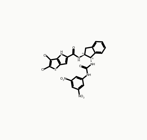 O=C(Nc1cc([N+](=O)[O-])cc([N+](=O)[O-])c1)N[C@H]1c2ccccc2C[C@@H]1NC(=O)c1cc2sc(Cl)c(Cl)c2[nH]1